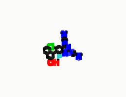 CN(C)C1CN(c2nc(N3CC(N(C)C)C3)c3cc(Cl)c(-c4cc(O)cc5ccccc45)c(F)c3n2)C1